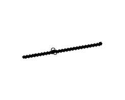 CCCCCCCCC=CCCCCCCCCCCCC(=O)OCCCCCCCCCCCCCCCCCCCCCCCCCCCCCCC(C)C